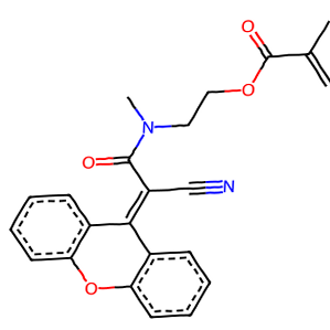 C=C(C)C(=O)OCCN(C)C(=O)C(C#N)=C1c2ccccc2Oc2ccccc21